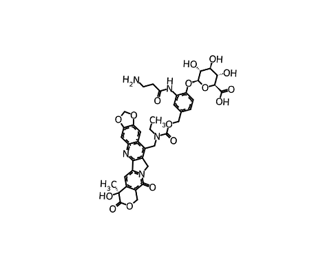 CCN(Cc1c2c(nc3cc4c(cc13)OCO4)-c1cc3c(c(=O)n1C2)COC(=O)[C@@]3(C)O)C(=O)OCc1ccc(O[C@@H]2O[C@H](C(=O)O)[C@@H](O)[C@H](O)[C@H]2O)c(NC(=O)CCN)c1